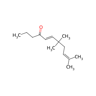 CCCC(=O)C=CC(C)(C)CC=C(C)C